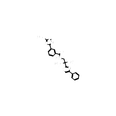 Cc1nc(-c2cccc(C(=O)NCC(C)(C)c3nc(-c4ccccc4)cs3)c2)no1